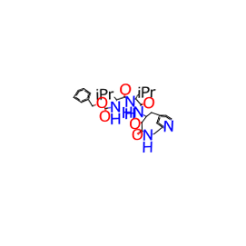 CC(C)C(NC(=O)OCc1ccccc1)C(=O)NC(C(=O)NC1Cc2ccnc(c2)CNC(=O)C1=O)C(C)C